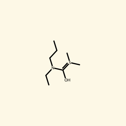 CCCN(CC)C(O)=S(C)C